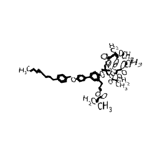 C=C(C)C(=O)OCCCc1cc(-c2ccc(OCc3ccc(CCCCCCCC)cc3)cc2)ccc1OCC(COC(=O)C(=C)C)(COC(=O)C(C)C(=O)OC)COC(=O)C(C)C(=O)OC